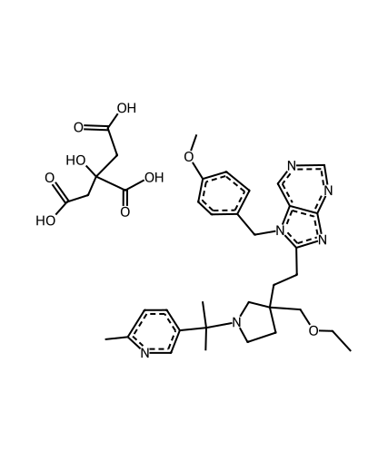 CCOCC1(CCc2nc3ncncc3n2Cc2ccc(OC)cc2)CCN(C(C)(C)c2ccc(C)nc2)C1.O=C(O)CC(O)(CC(=O)O)C(=O)O